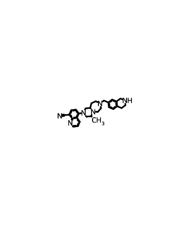 CC1CN(c2ccc(C#N)c3ncccc23)CC2CCN(Cc3ccc4c(c3)CNCC4)CCN12